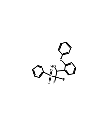 O=S(=O)(c1ccccc1)C(F)(F)C(O)c1ccccc1Oc1ccccc1